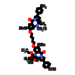 CCOC(=O)N1c2cc(OCCCCCOc3cc4c(cc3OC)C(=O)N3C=C(c5ccc(C=O)cc5)C[C@H]3[C@H](O[Si](C)(C)C(C)(C)C)N4C(=O)OCC(Cl)(Cl)Cl)c(OC)cc2C(=O)N2C=C(c3ccc(C)cc3)C[C@H]2[C@@H]1C